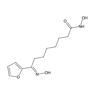 O=C(CCCCCC/C(=N\O)c1ccco1)NO